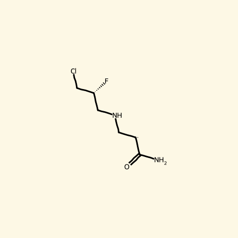 NC(=O)[CH]CNC[C@@H](F)CCl